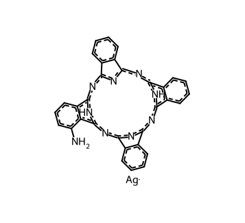 Nc1cccc2c3nc4nc(nc5[nH]c(nc6nc(nc([nH]3)c12)-c1ccccc1-6)c1ccccc51)-c1ccccc1-4.[Ag]